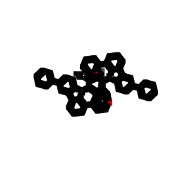 N#Cc1c(C#N)c(-n2c3ccc(-c4ccccc4)cc3c3cccc(-c4ccccc4)c32)c2c(c1-n1c3ccc(-c4ccccc4)cc3c3cccc(-c4ccccc4)c31)C1CCC2O1